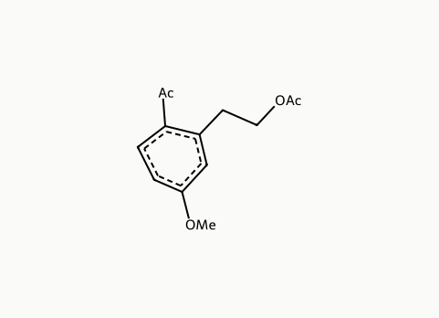 COc1ccc(C(C)=O)c(CCOC(C)=O)c1